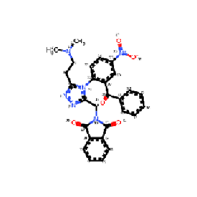 CN(C)CCc1nnc(CN2C(=O)c3ccccc3C2=O)n1-c1ccc([N+](=O)[O-])cc1C(=O)c1ccccc1